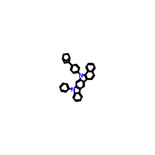 c1ccc(-n2c3ccccc3c3cc4c5ccc6ccccc6c5n(-c5ccc(C6CC7CCC6C7)cc5)c4cc32)cc1